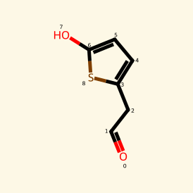 O=CCc1ccc(O)s1